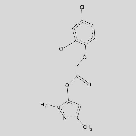 Cc1cc(OC(=O)COc2ccc(Cl)cc2Cl)n(C)n1